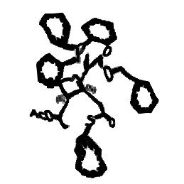 CC(=O)OC(C)[C@H]1C(=O)N(C(C(=O)OCc2ccccc2)=P(c2ccccc2)(c2ccccc2)c2ccccc2)[C@H]1CC(=O)Sc1ccccc1